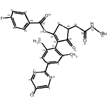 Cc1cc(-c2ncc(Cl)cn2)cc(C)c1C1=C(OC(=O)c2ccc(F)cc2)CC(CC(=O)NC(C)(C)C)C1=O